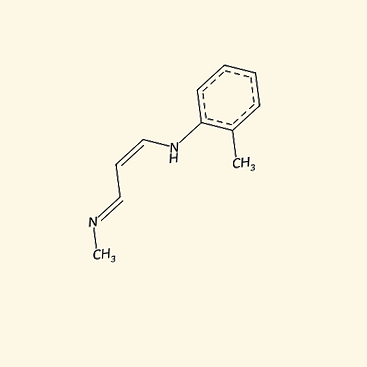 C/N=C/C=C\Nc1ccccc1C